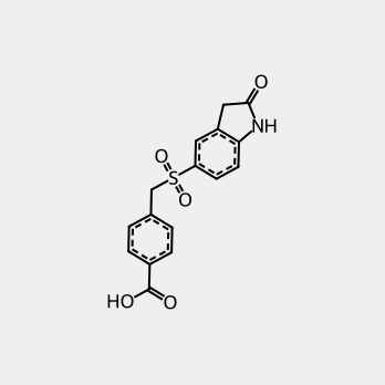 O=C1Cc2cc(S(=O)(=O)Cc3ccc(C(=O)O)cc3)ccc2N1